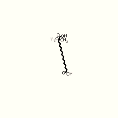 CC(C)(CCCCCCCCCCCCCCC(=O)O)C(=O)O